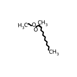 CCCCCCCCCCC=C(C)C(=O)OCCC